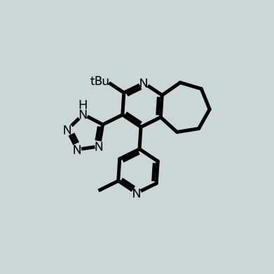 Cc1cc(-c2c3c(nc(C(C)(C)C)c2-c2nnn[nH]2)CCCCC3)ccn1